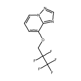 FC(F)(F)C(F)(F)COc1cccn2ncnc12